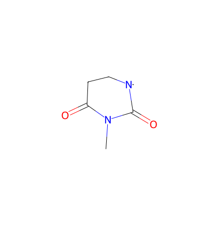 CN1C(=O)CC[N]C1=O